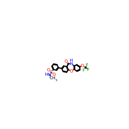 CNS(=O)(=O)c1cccc(-c2ccc3c(c2)C(=O)Nc2cc(OC(F)(F)F)ccc2O3)c1